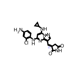 Nc1ccc(Nc2cc(NC3CC3)n3ncc(/C=C4\CC(=O)NC4=O)c3n2)c(Cl)c1